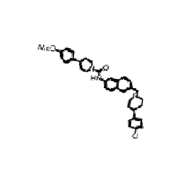 COc1ccc(C2CCN(C(=O)Nc3ccc4cc(CN5CCC(c6ccc(Cl)cc6)CC5)ccc4c3)CC2)cc1